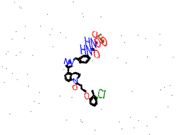 Cc1c(Cl)cccc1OCCCC(=O)N1CCCc2c(-c3cnn(Cc4cccc(NC(=O)NOS(C)(=O)=O)c4)c3)cccc21